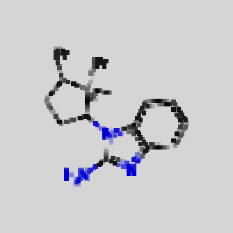 CC(C)C1CCC(n2c(N)nc3ccccc32)[C@@]1(C)C(C)C